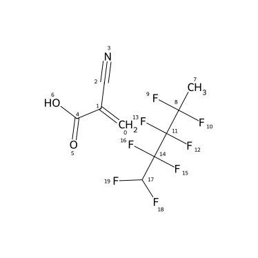 C=C(C#N)C(=O)O.CC(F)(F)C(F)(F)C(F)(F)C(F)F